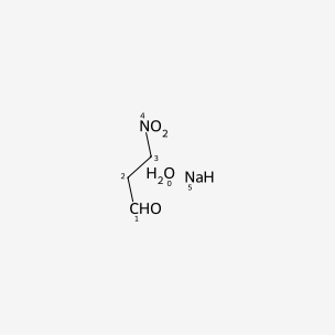 O.O=CCC[N+](=O)[O-].[NaH]